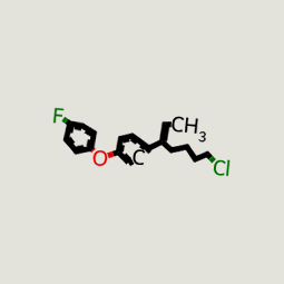 CC=C(CCCCCl)c1ccc(Oc2ccc(F)cc2)cc1